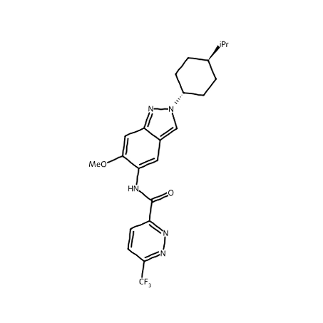 COc1cc2nn([C@H]3CC[C@H](C(C)C)CC3)cc2cc1NC(=O)c1ccc(C(F)(F)F)nn1